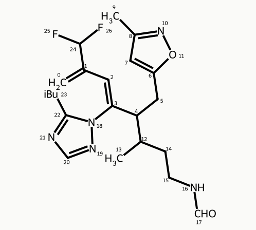 C=C(/C=C(/C(Cc1cc(C)no1)C(C)CCNC=O)n1ncnc1C(C)CC)C(F)F